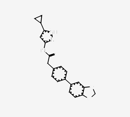 O=C(Cc1ccc(-c2ccc3c(c2)OCO3)cc1)Nc1cc(C2CC2)[nH]n1